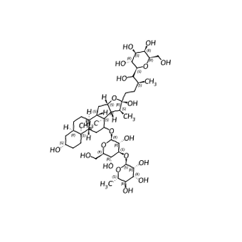 C[C@@H]1O[C@@H](O[C@@H]2[C@@H](O)[C@H](OC3C[C@H]4[C@@H](CC[C@@H]5C[C@@H](O)CC[C@@]54C)[C@@H]4C[C@@H]5O[C@](O)(CC[C@H](C)C(O)[C@@H]6O[C@H](CO)[C@H](O)[C@H](O)[C@H]6O)[C@@H](C)[C@@H]5[C@@]34C)O[C@H](CO)[C@H]2O)[C@H](O)[C@H](O)[C@H]1O